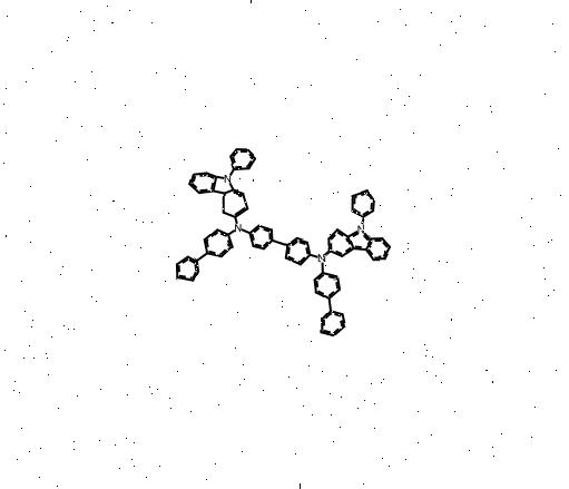 C1=C(N(c2ccc(-c3ccccc3)cc2)c2ccc(-c3ccc(N(c4ccc(-c5ccccc5)cc4)c4ccc5c(c4)c4ccccc4n5-c4ccccc4)cc3)cc2)CC2C(=C1)N(c1ccccc1)c1ccccc12